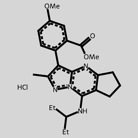 CCC(CC)Nc1c2c(nc3c(-c4ccc(OC)cc4C(=O)OC)c(C)nn13)CCC2.Cl